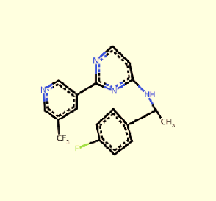 CC(Nc1ccnc(-c2cncc(C(F)(F)F)c2)n1)c1ccc(F)cc1